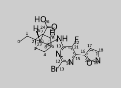 CCC12CCC(CC1)[C@H](Nc1nc(Br)nc(-c3ccno3)c1F)[C@H]2C(=O)O